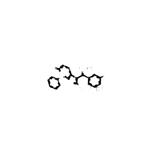 CCOC(=O)c1sc2c(ccc(=O)n2-c2ccccc2)c1C(O)c1cccc(Cl)c1